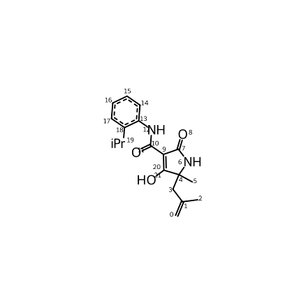 C=C(C)CC1(C)NC(=O)C(C(=O)Nc2ccccc2C(C)C)=C1O